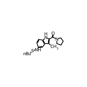 CCCCSNc1ccc2[nH]c(C(=O)N3CCCC3)c(C)c2c1